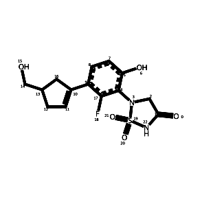 O=C1CN(c2c(O)ccc(C3=CCC(CO)C3)c2F)S(=O)(=O)N1